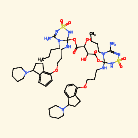 CCCCN1C(N)=NS(=O)(=O)NC1(NCCCOc1cccc2c1CCC2N1CCCCC1)OC(=O)C(O)C(O)C(=O)OC1(NCCCOc2cccc3c2CCC3N2CCCCC2)NS(=O)(=O)N=C(N)N1CCCC